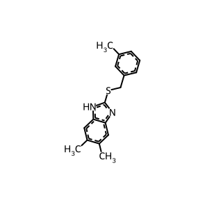 Cc1cccc(CSc2nc3cc(C)c(C)cc3[nH]2)c1